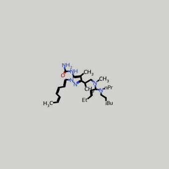 C\C=C/C=C\C=C\n1nc(C(C)CN(C)C(C=CCC)N(CCC)CCC(C)CC)c(C)c1NC(N)=O